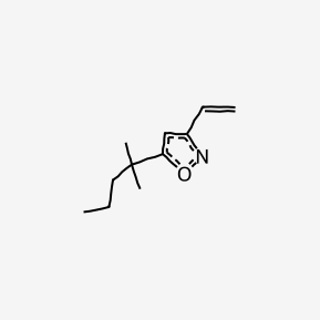 C=Cc1cc(C(C)(C)CCC)on1